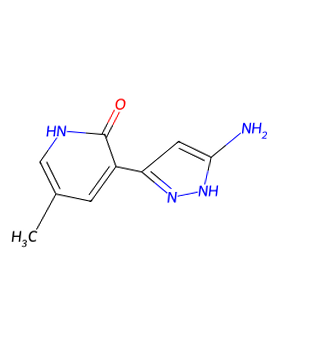 Cc1c[nH]c(=O)c(-c2cc(N)[nH]n2)c1